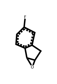 Fc1ccc2c(c1)CC1OC21